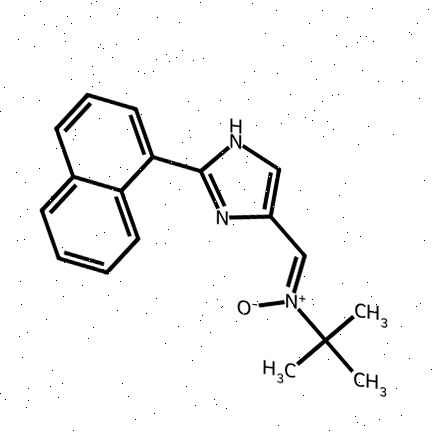 CC(C)(C)[N+]([O-])=Cc1c[nH]c(-c2cccc3ccccc23)n1